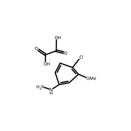 COc1cc(NN)ccc1Cl.O=C(O)C(=O)O